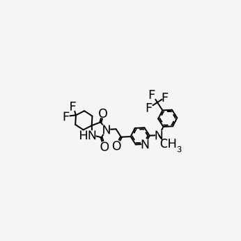 CN(c1cccc(C(F)(F)F)c1)c1ccc(C(=O)CN2C(=O)NC3(CCC(F)(F)CC3)C2=O)cn1